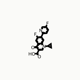 O=C(O)c1cn(C2CC2)c2cc(-c3ccc(F)cn3)c(F)cc2c1=O